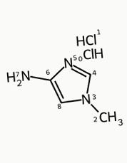 Cl.Cl.Cn1cnc(N)c1